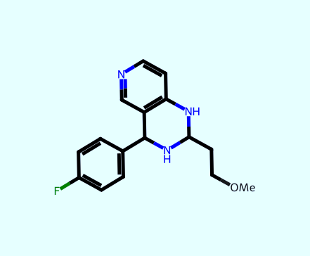 COCCC1Nc2ccncc2C(c2ccc(F)cc2)N1